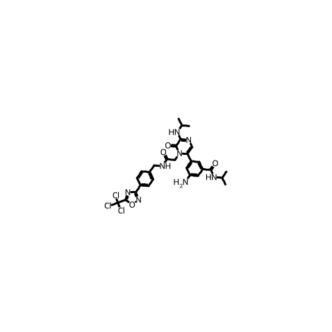 CC(C)NC(=O)c1cc(N)cc(-c2cnc(NC(C)C)c(=O)n2CC(=O)NCc2ccc(-c3noc(C(Cl)(Cl)Cl)n3)cc2)c1